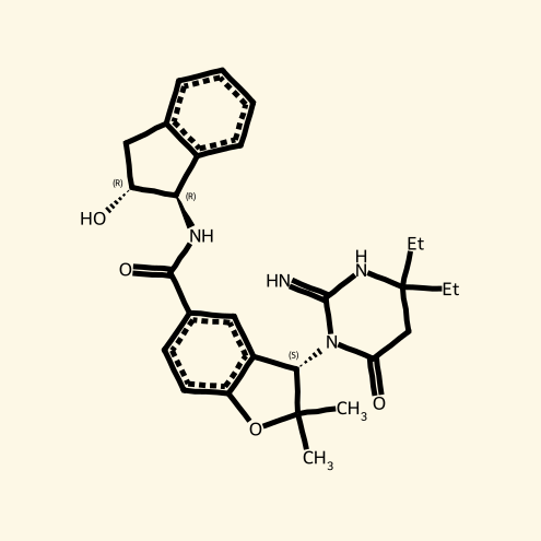 CCC1(CC)CC(=O)N([C@H]2c3cc(C(=O)N[C@@H]4c5ccccc5C[C@H]4O)ccc3OC2(C)C)C(=N)N1